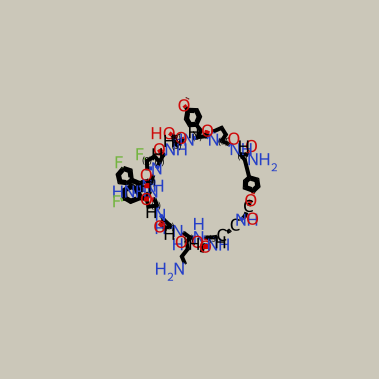 COc1ccc(C[C@@H]2NC(=O)[C@H]([C@@H](C)O)NC(=O)[C@@H]3C[C@H](F)CN3C(=O)[C@H](Cc3c[nH]c4ccc(F)cc34)NC(=O)[C@H](Cc3c[nH]c4ccc(F)cc34)NC(=O)[C@H](C)NC(=O)[C@H](CCCCN)NC(=O)[C@@H](NC(C)=O)CCCNC(=O)COc3ccc(cc3)C[C@@H](C(N)=O)NC(=O)[C@]3(C)CCCN3C2=O)cc1